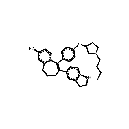 Oc1ccc2c(c1)CCCC(c1ccc3c(c1)CCN3)=C2c1ccc(OC2CCN(CCCF)C2)cc1